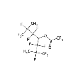 CC(F)(C(F)(F)F)C(F)(F)C(OC(=O)C(F)(F)F)C(F)(F)C(C)(F)C(F)(F)F